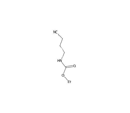 CCOC(=O)NCCCC#N